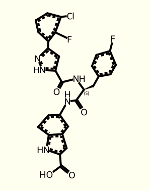 O=C(O)c1cc2cc(NC(=O)[C@H](Cc3ccc(F)cc3)NC(=O)c3cc(-c4cccc(Cl)c4F)n[nH]3)ccc2[nH]1